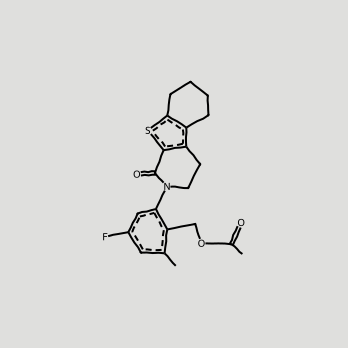 CC(=O)OCc1c(C)cc(F)cc1N1CCc2c(sc3c2CCCC3)C1=O